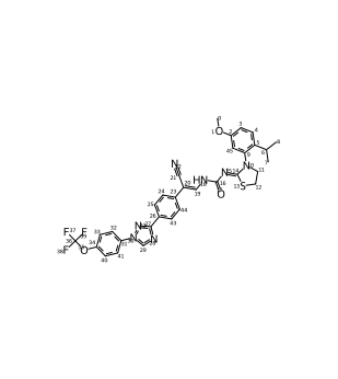 COc1ccc(C(C)C)c(N2CCS/C2=N\C(=O)N/C=C(\C#N)c2ccc(-c3ncn(-c4ccc(OC(F)(F)F)cc4)n3)cc2)c1